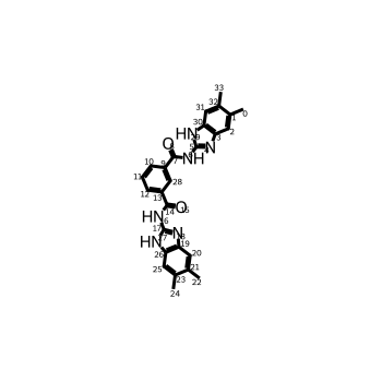 Cc1cc2nc(NC(=O)c3cccc(C(=O)Nc4nc5cc(C)c(C)cc5[nH]4)c3)[nH]c2cc1C